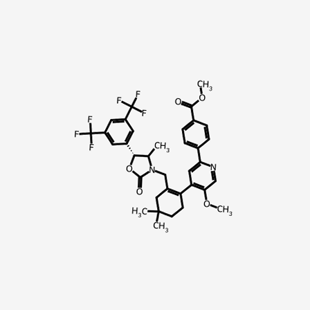 COC(=O)c1ccc(-c2cc(C3=C(CN4C(=O)O[C@H](c5cc(C(F)(F)F)cc(C(F)(F)F)c5)C4C)CC(C)(C)CC3)c(OC)cn2)cc1